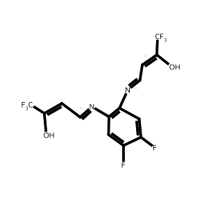 O/C(=C\C=N\c1cc(F)c(F)cc1/N=C/C=C(\O)C(F)(F)F)C(F)(F)F